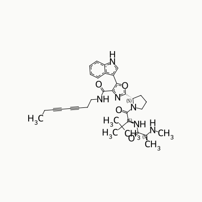 CCC#CC#CCCNC(=O)c1nc([C@@H]2CCCN2C(=O)[C@@H](NC(=O)[C@H](C)NC)C(C)(C)C)oc1-c1c[nH]c2ccccc12